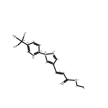 CCOC(=O)/C=C/c1cnn(-c2ccc(C(F)(F)F)cn2)c1